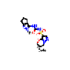 CO[C@@H]1COc2c(S(=O)(=O)NC(=O)Nc3c4c(nn3C(C)C)CCC4)cnn2C1